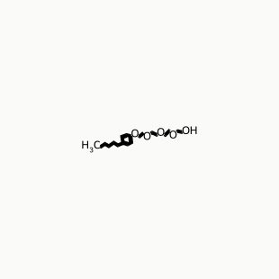 CCCCCCc1ccc(OCCOCCOCCOCCO)cc1